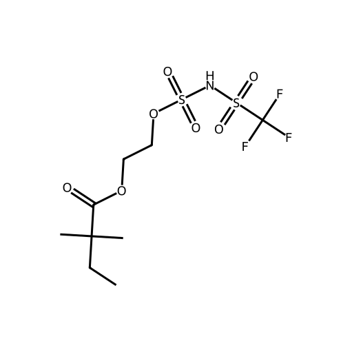 CCC(C)(C)C(=O)OCCOS(=O)(=O)NS(=O)(=O)C(F)(F)F